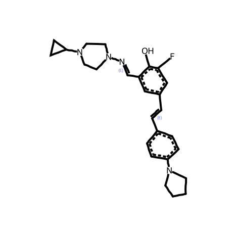 Oc1c(F)cc(/C=C/c2ccc(N3CCCC3)cc2)cc1/C=N/N1CCN(C2CC2)CC1